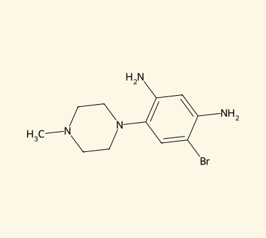 CN1CCN(c2cc(Br)c(N)cc2N)CC1